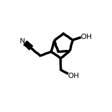 N#CCC1C2CC(O)C(C2)C1CO